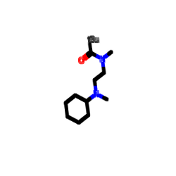 CN(CCN(C)C1CCCCC1)C(=O)C(C)(C)C